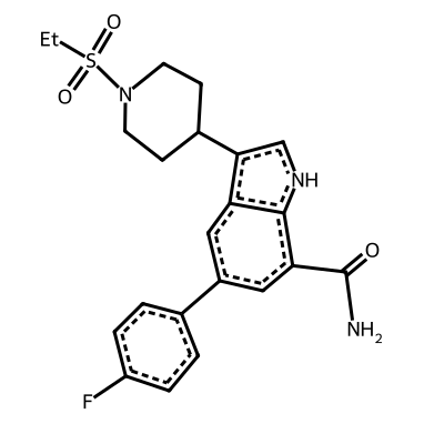 CCS(=O)(=O)N1CCC(c2c[nH]c3c(C(N)=O)cc(-c4ccc(F)cc4)cc23)CC1